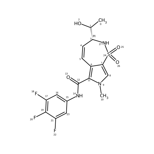 CC(O)[C@H]1C=Cc2c(cn(C)c2C(=O)Nc2cc(F)c(F)c(F)c2)S(=O)(=O)N1